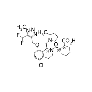 CC1CCCN1C[C@@H]1c2c(OCc3nnn(C)c3C(F)F)ccc(Cl)c2CCN1C(=O)[C@@H]1CCCC[C@@H]1C(=O)O